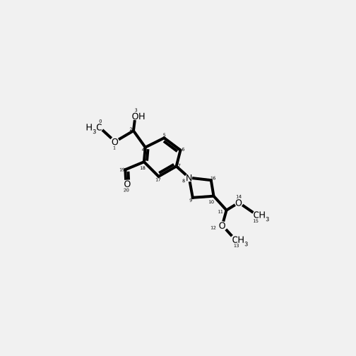 COC(O)c1ccc(N2CC(C(OC)OC)C2)cc1C=O